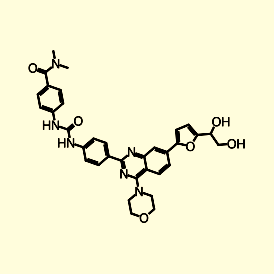 CN(C)C(=O)c1ccc(NC(=O)Nc2ccc(-c3nc(N4CCOCC4)c4ccc(-c5ccc(C(O)CO)o5)cc4n3)cc2)cc1